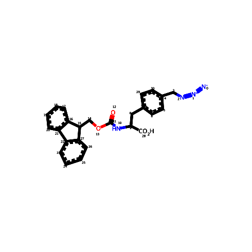 [N-]=[N+]=NCc1ccc(CC(NC(=O)OCC2c3ccccc3-c3ccccc32)C(=O)O)cc1